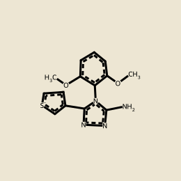 COc1cccc(OC)c1-n1c(N)nnc1-c1ccsc1